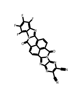 N#Cc1nc2nc3c4ccc5c(=O)n6c(nc7c(F)c(F)c(F)c(F)c76)c6ccc(c(=O)n3c2nc1C#N)c4c56